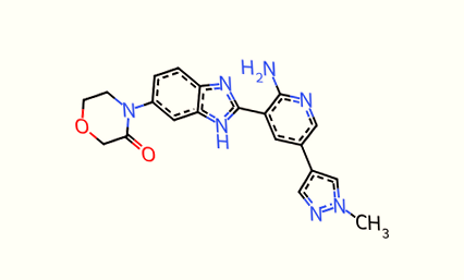 Cn1cc(-c2cnc(N)c(-c3nc4ccc(N5CCOCC5=O)cc4[nH]3)c2)cn1